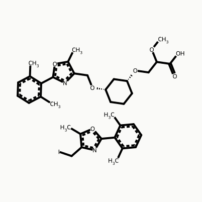 COC(CO[C@@H]1CCC[C@H](OCc2nc(-c3c(C)cccc3C)oc2C)C1)C(=O)O.Cc1cccc(C)c1-c1nc(CI)c(C)o1